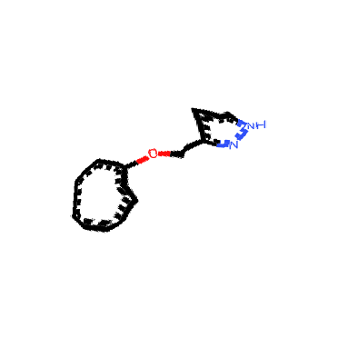 [c]1ccc(OCc2cc[nH]n2)cc1